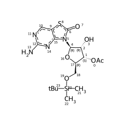 CC(=O)O[C@H]1[C@@H](O)[C@H](n2c(=O)sc3cnc(N)nc32)O[C@@H]1CO[Si](C)(C)C(C)(C)C